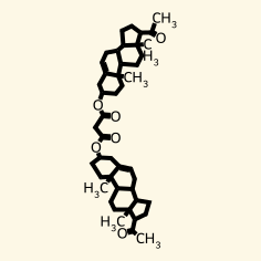 CC(=O)C1CCC2C3CC=C4CC(OC(=O)CC(=O)OC5CCC6(C)C(=CCC7C6CCC6(C)C(C(C)=O)CCC76)C5)CCC4(C)C3CCC12C